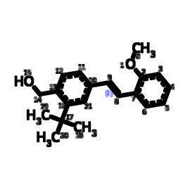 COc1ccccc1/C=C/c1ccc(CO)c(C(C)(C)C)c1